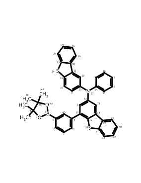 CC1(C)OB(c2cccc(-c3cc(N(c4ccccc4)c4ccc5sc6ccccc6c5c4)cc4c3sc3ccccc34)c2)OC1(C)C